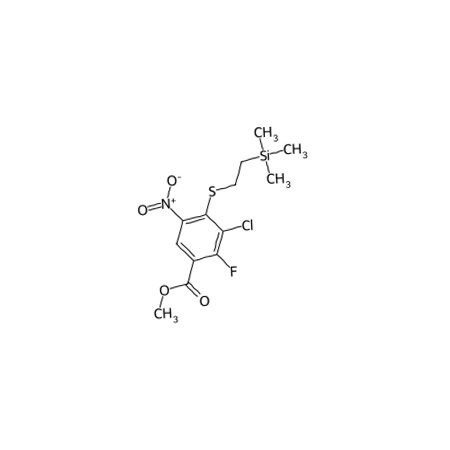 COC(=O)c1cc([N+](=O)[O-])c(SCC[Si](C)(C)C)c(Cl)c1F